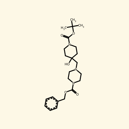 CC(C)(C)OC(=O)N1CCC(O)(CN2CCN(C(=O)OCc3ccccc3)CC2)CC1